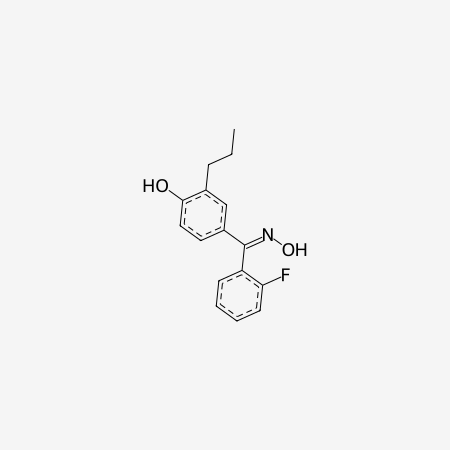 CCCc1cc(C(=NO)c2ccccc2F)ccc1O